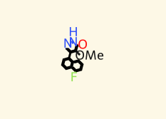 COc1c(-c2cccc3c(F)cccc23)cn[nH]c1=O